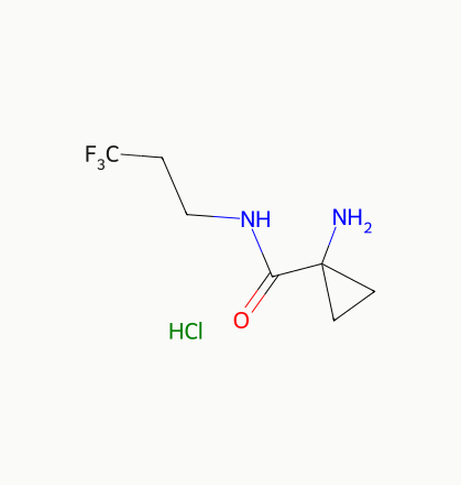 Cl.NC1(C(=O)NCCC(F)(F)F)CC1